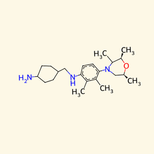 Cc1c(NCC2CCC(N)CC2)ccc(N2C[C@H](C)O[C@H](C)C2C)c1C